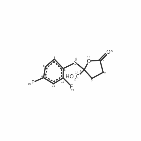 O=C1CCC(Sc2ccc(F)cc2F)(C(=O)O)O1